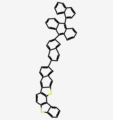 c1ccc2c(-c3c4ccccc4c(-c4ccc5cc(-c6ccc7cc8c(cc7c6)sc6c8ccc7sc8ccccc8c76)ccc5c4)c4ccccc34)cccc2c1